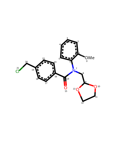 COc1ccccc1N(CC1OCCO1)C(=O)c1ccc(CCl)cc1